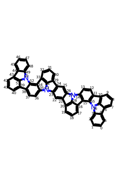 c1ccc2c(c1)c1cccc3c4ccc5c(c6cccc7c8cc9c(cc8n5c76)c5cccc6c7c(ccc8c%10cccc%11c%12ccccc%12n(c%11%10)c87)n9c56)c4n2c13